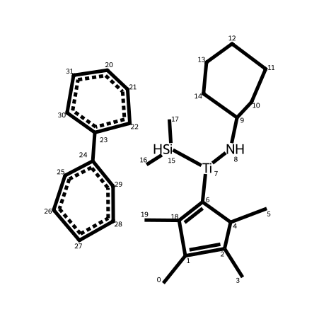 CC1=C(C)C(C)[C]([Ti]([NH]C2CCCCC2)[SiH](C)C)=C1C.c1ccc(-c2ccccc2)cc1